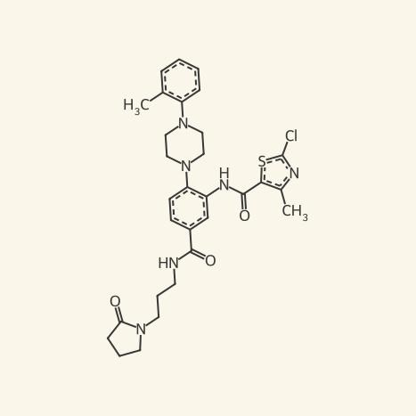 Cc1ccccc1N1CCN(c2ccc(C(=O)NCCCN3CCCC3=O)cc2NC(=O)c2sc(Cl)nc2C)CC1